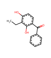 [CH2]Cc1c(O)ccc(C(=O)c2ccccc2)c1O